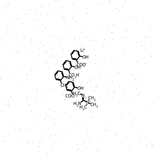 C/N=C(\N)[N+](C)(C)C.Cc1ccccc1N.O=C(O)c1ccccc1O.O=C([O-])c1ccccc1O.O=C([O-])c1ccccc1O.[Li+]